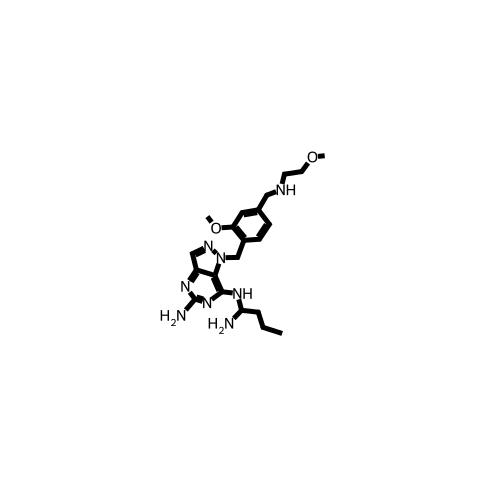 CCCC(N)Nc1nc(N)nc2cnn(Cc3ccc(CNCCOC)cc3OC)c12